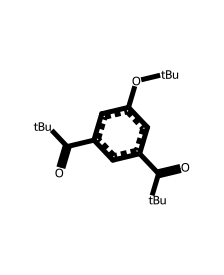 CC(C)(C)Oc1cc(C(=O)C(C)(C)C)cc(C(=O)C(C)(C)C)c1